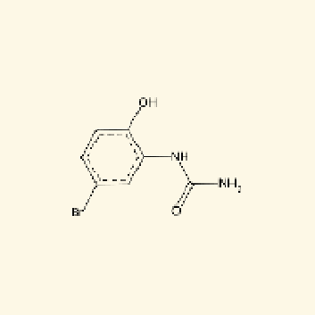 NC(=O)Nc1cc(Br)ccc1O